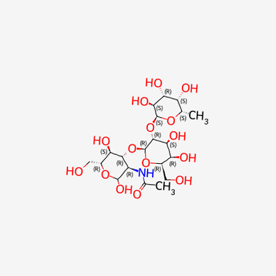 CC(=O)N[C@H]1C(O)O[C@H](CO)[C@@H](O)[C@@H]1O[C@@H]1O[C@H](CO)[C@H](O)[C@H](O)[C@H]1O[C@@H]1O[C@@H](C)[C@@H](O)[C@@H](O)[C@@H]1O